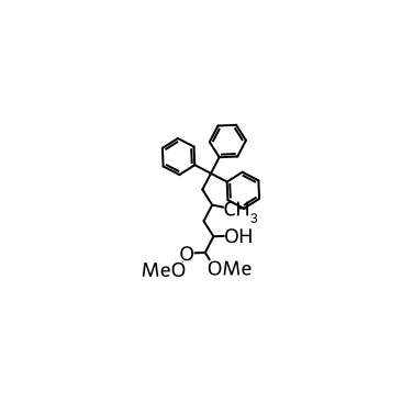 COOC(OC)C(O)CC(C)CC(c1ccccc1)(c1ccccc1)c1ccccc1